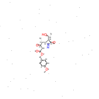 COc1ccc(COC(=O)CC(=O)[C@H](C)[C@H]2NC(=O)[C@@H]2[C@@H](C)O)cc1